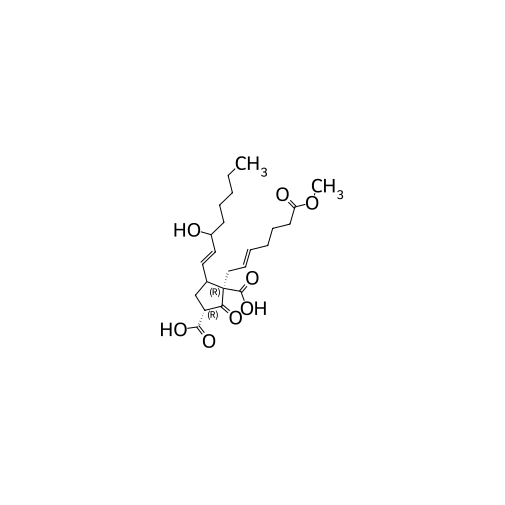 CCCCCC(O)C=CC1C[C@@H](C(=O)O)C(=O)[C@]1(CC=CCCCC(=O)OC)C(=O)O